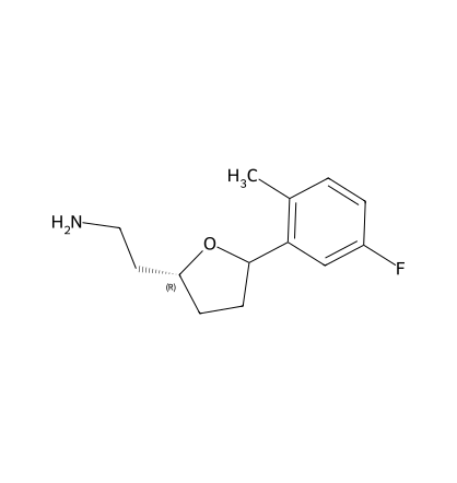 Cc1ccc(F)cc1C1CC[C@H](CCN)O1